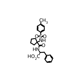 Cc1ccc(S(=O)(=O)NC2(C(=O)N[C@@H](Cc3ccccc3)C(=O)O)CCCC2)cc1